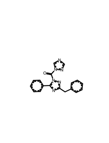 O=C(n1cncn1)n1nc(Cc2ccccc2)nc1-c1ccccc1